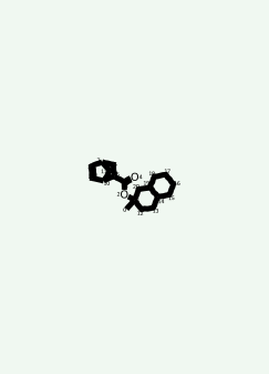 CC1(OC(=O)C2CC3C=CC2C3)CCC2CCCCC2C1